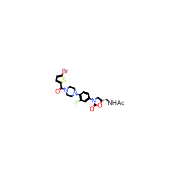 CC(=O)NC[C@H]1CN(c2ccc(N3CCN(C(=O)c4ccc(Br)s4)CC3)c(F)c2)C(=O)O1